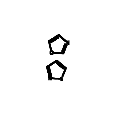 c1cnsc1.c1cocn1